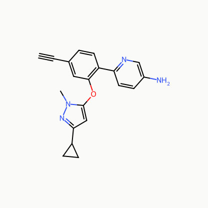 C#Cc1ccc(-c2ccc(N)cn2)c(Oc2cc(C3CC3)nn2C)c1